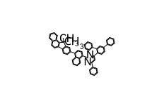 CC1(C)c2cc(-c3ccc(-c4nc(-c5ccccc5)cc(-c5ccc(-c6ccccc6)cc5-c5ccccc5)n4)c4ccccc34)ccc2-c2ccc3ccccc3c21